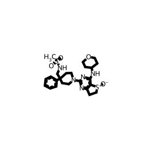 CS(=O)(=O)NCC1(c2ccccc2)CCN(c2nc3c(c(NC4CCOCC4)n2)[S+]([O-])CC3)CC1